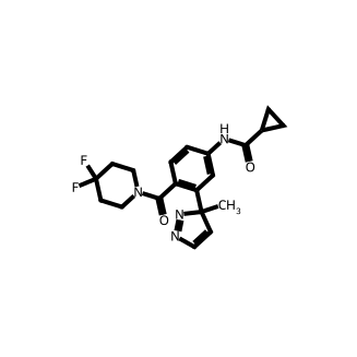 CC1(c2cc(NC(=O)C3CC3)ccc2C(=O)N2CCC(F)(F)CC2)C=CN=N1